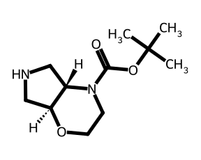 CC(C)(C)OC(=O)N1CCO[C@H]2CNC[C@@H]21